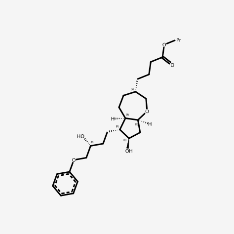 CC(C)OC(=O)CCC[C@H]1CC[C@@H]2[C@@H](CC[C@@H](O)COc3ccccc3)[C@H](O)C[C@@H]2OC1